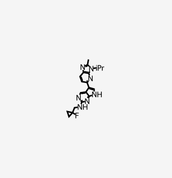 Cc1nc2ccc(-c3c[nH]c4nc(NCC5(F)CC5)ncc34)nc2n1C(C)C